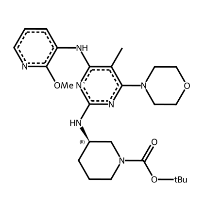 COc1ncccc1Nc1nc(N[C@@H]2CCCN(C(=O)OC(C)(C)C)C2)nc(N2CCOCC2)c1C